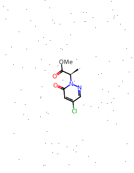 COC(=O)[C@@H](C)n1ncc(Cl)cc1=O